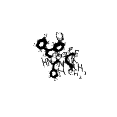 CC(C)[C@H](NC(=O)[C@@H](NC(=O)CC(c1ccccc1)c1cccc(Cl)c1)C1C=CC=CC1)C(=O)C(F)(F)F